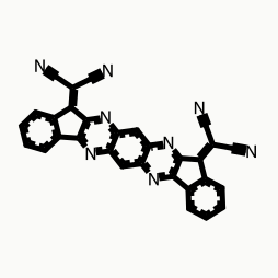 N#CC(C#N)=C1c2ccccc2-c2nc3cc4nc5c(nc4cc3nc21)C(=C(C#N)C#N)c1ccccc1-5